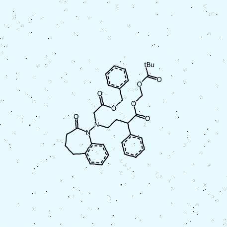 CC(C)(C)C(=O)OCOC(=O)C(CCN(CC(=O)OCc1ccccc1)N1C(=O)CCCc2ccccc21)c1ccccc1